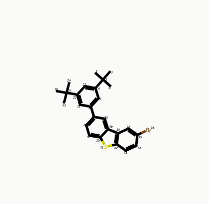 CC(C)(C)c1cc(-c2ccc3sc4ccc(Br)cc4c3c2)cc(C(C)(C)C)c1